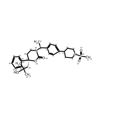 C[C@@H](c1ccc(C2CCN(S(C)(=O)=O)CC2)cc1)N1CC[C@](CC(C)(C)O)(c2ccccc2)OC1=O